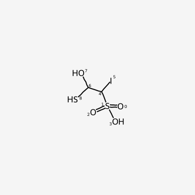 O=S(=O)(O)C(I)C(O)S